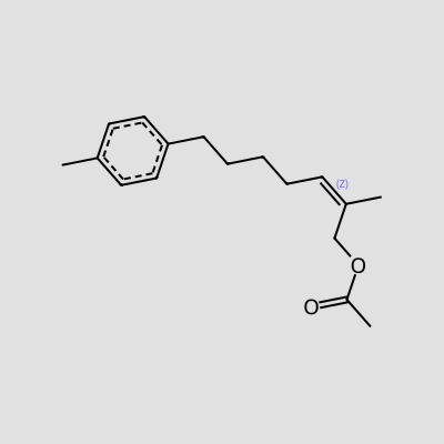 CC(=O)OC/C(C)=C\CCCCc1ccc(C)cc1